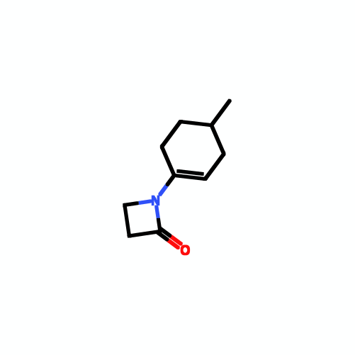 CC1CC=C(N2CCC2=O)CC1